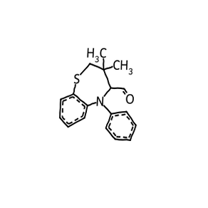 CC1(C)CSc2ccccc2N(c2ccccc2)C1C=O